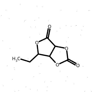 CCC1OC(=O)C2OC(=O)OC12